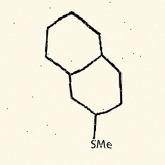 CSC1CCC2CCCCC2C1